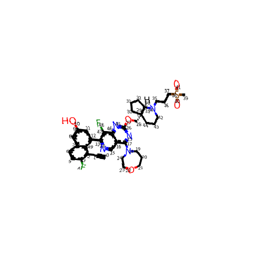 C#Cc1c(F)ccc2cc(O)cc(-c3ncc4c(N5CCCOCC5)nc(OC[C@]56CCC[C@H]5N(CCCS(C)(=O)=O)CCC6)nc4c3F)c12